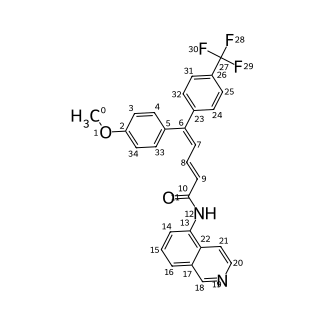 COc1ccc(/C(=C\C=C\C(=O)Nc2cccc3cnccc23)c2ccc(C(F)(F)F)cc2)cc1